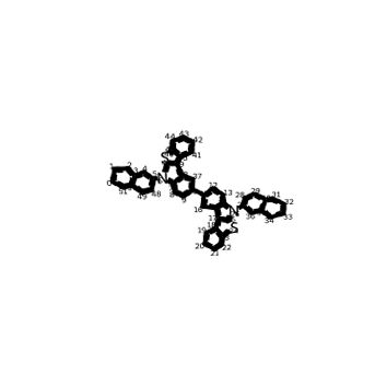 c1ccc2cc(-n3c4ccc(-c5ccc6c(c5)c5c7ccccc7sc5n6-c5ccc6ccccc6c5)cc4c4c5ccccc5sc43)ccc2c1